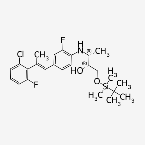 CC(=Cc1ccc(N[C@H](C)[C@@H](O)CO[Si](C)(C)C(C)(C)C)c(F)c1)c1c(F)cccc1Cl